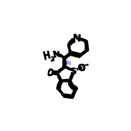 N/C(=C1\C(=O)c2ccccc2[S+]1[O-])c1cccnc1